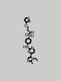 CCn1c(-c2ccnc(Nc3ccc(S(=O)(=O)NCCOc4ccsn4)cc3)n2)cnc1C